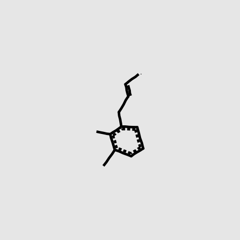 [CH2]C=CCc1cccc(C)c1C